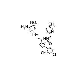 Cc1cnc(CNC(=O)c2c(-c3ccc(Cl)cc3Cl)ccn2CCCNc2ccc([N+](=O)[O-])c(N)n2)cn1